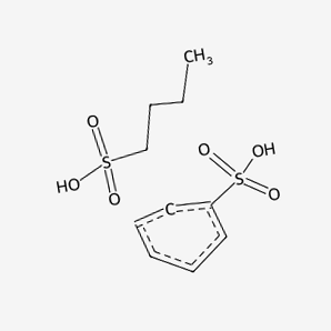 CCCCS(=O)(=O)O.O=S(=O)(O)c1ccccc1